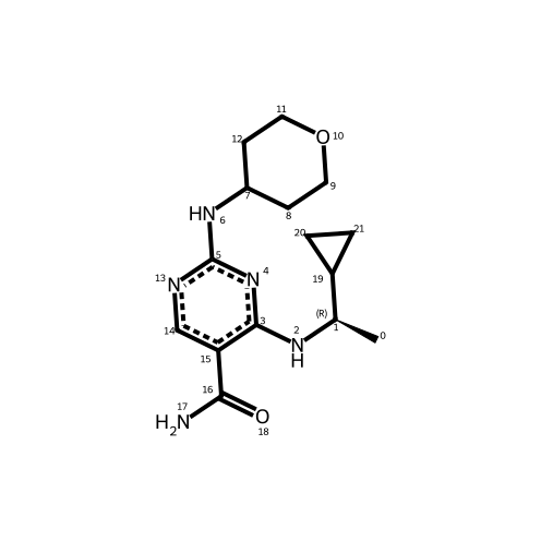 C[C@@H](Nc1nc(NC2CCOCC2)ncc1C(N)=O)C1CC1